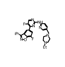 CCN1CCN(Cc2ccc(Nc3ncc(F)c(-c4cc(F)c5onc(C(C)C)c5c4)n3)nc2)CC1